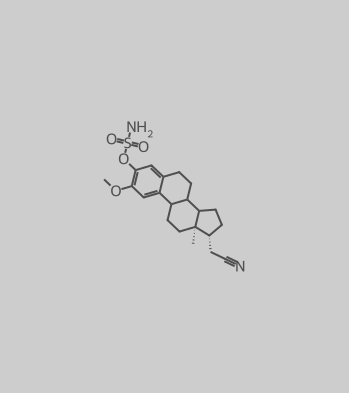 COc1cc2c(cc1OS(N)(=O)=O)CCC1C2CC[C@@]2(C)C1CC[C@@H]2CC#N